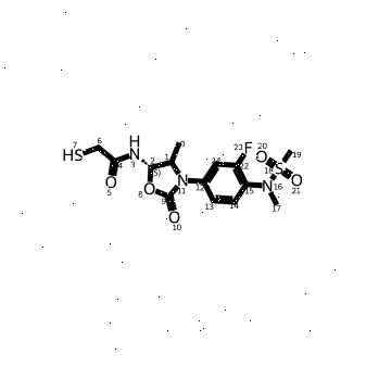 CC1[C@@H](NC(=O)CS)OC(=O)N1c1ccc(N(C)S(C)(=O)=O)c(F)c1